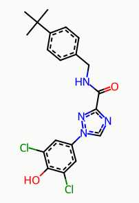 CC(C)(C)c1ccc(CNC(=O)c2ncn(-c3cc(Cl)c(O)c(Cl)c3)n2)cc1